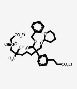 CCOC(=O)CCc1cccc(C(CCCC(C)(C)CS(=O)(=O)CC(=O)OCC)(COC2CCCCO2)C(=O)OCc2ccccc2)c1